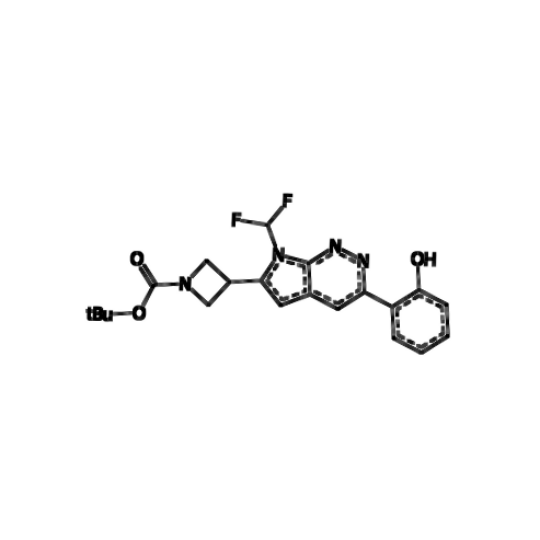 CC(C)(C)OC(=O)N1CC(c2cc3cc(-c4ccccc4O)nnc3n2C(F)F)C1